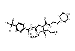 CCOP(=O)(OCC)C(CC(=O)N[C@@H](C)c1ccc(C(F)(F)F)cc1)C(=O)OCCN1CCOCC1